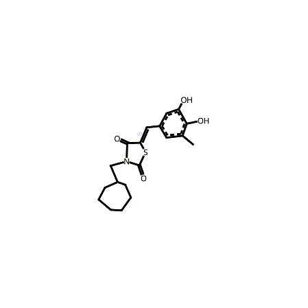 Cc1cc(/C=C2\SC(=O)N(CC3CCCCCC3)C2=O)cc(O)c1O